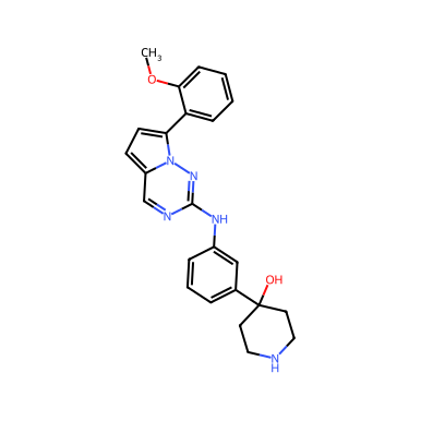 COc1ccccc1-c1ccc2cnc(Nc3cccc(C4(O)CCNCC4)c3)nn12